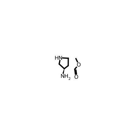 COC=O.N[C@@H]1CCNC1